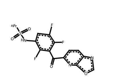 CCCS(=O)(=O)Nc1cc(F)c(F)c(C(=O)c2ccc3ncoc3n2)c1F